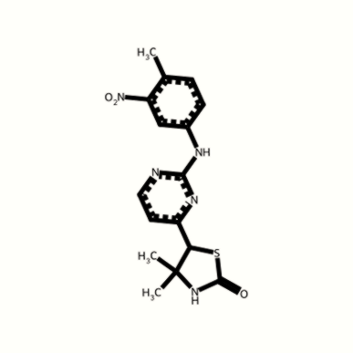 Cc1ccc(Nc2nccc(C3SC(=O)NC3(C)C)n2)cc1[N+](=O)[O-]